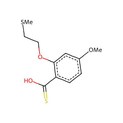 COc1ccc(C(O)=S)c(OCCSC)c1